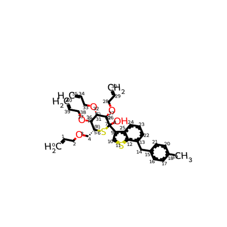 C=CCOC[C@H]1SC(O)(c2csc3c(Cc4ccc(C)cc4)cccc23)[C@H](OCC=C)[C@@H](OCC=C)[C@@H]1OCC=C